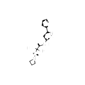 CC(C)(C(=O)Nc1cc(-c2cccs2)no1)S(=O)(=O)N1CCC1